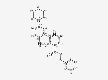 O=C(CCc1ccccc1)c1ccnc(-c2cc(N3CCCCC3)ccc2[N+](=O)[O-])c1